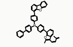 C=C(C)/C=C\c1c(C)oc2c(-c3ccc(N(c4ccc(-c5ccccc5)cc4)c4ccc(-c5cccc6c5oc5ccccc56)cc4)cc3)cccc12